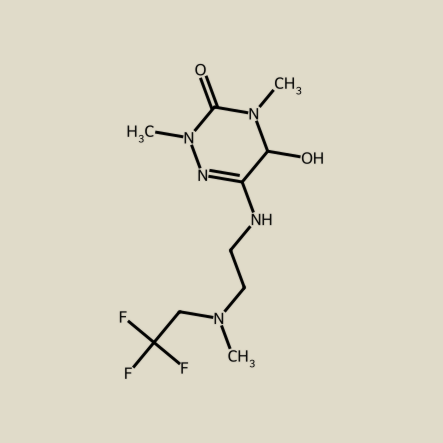 CN(CCNC1=NN(C)C(=O)N(C)C1O)CC(F)(F)F